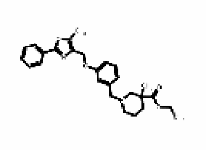 CCOC(=O)C1(C)CCCN(Cc2cccc(OCc3nc(-c4ccccc4)oc3C)c2)C1